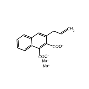 C=CCc1cc2ccccc2c(C(=O)[O-])c1C(=O)[O-].[Na+].[Na+]